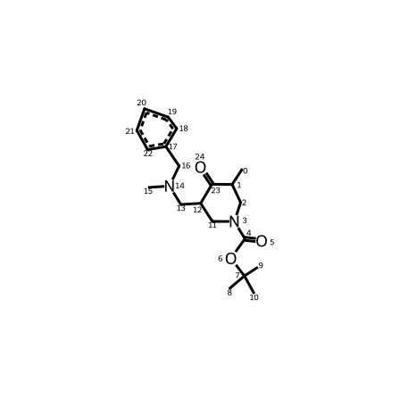 CC1CN(C(=O)OC(C)(C)C)CC(CN(C)Cc2ccccc2)C1=O